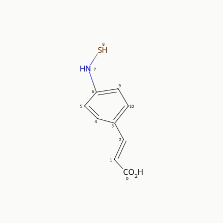 O=C(O)/C=C/c1ccc(NS)cc1